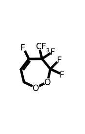 FC1=CCOOC(F)(F)C1(F)C(F)(F)F